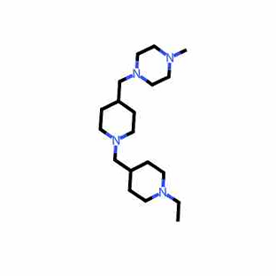 CCN1CCC(CN2CCC(CN3CCN(C)CC3)CC2)CC1